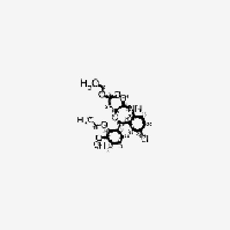 CCOC(=O)C[C@H]1O[C@H](c2cccc(OC)c2OCC)c2cc(Cl)ccc2NC1=O